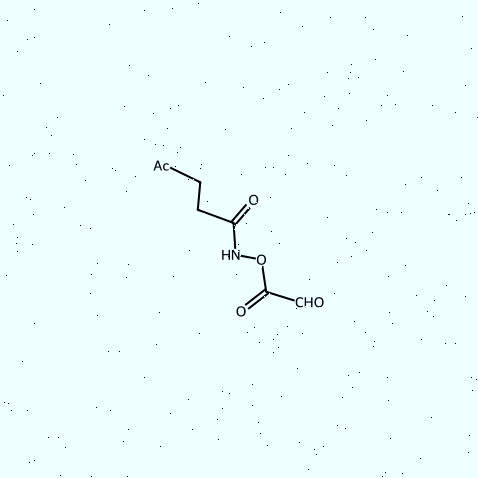 CC(=O)CCC(=O)NOC(=O)C=O